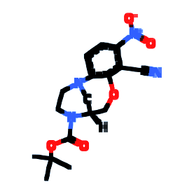 CC(C)(C)OC(=O)N1CCN2C[C@@H]1COc1c2ccc([N+](=O)[O-])c1C#N